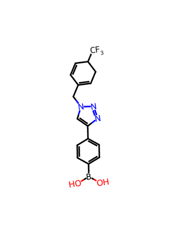 OB(O)c1ccc(-c2cn(CC3=CCC(C(F)(F)F)C=C3)nn2)cc1